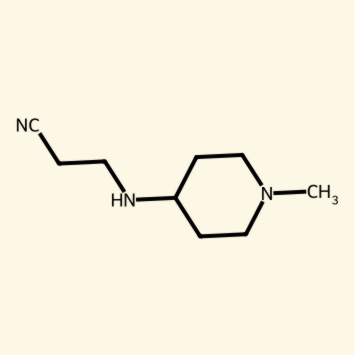 CN1CCC(NCCC#N)CC1